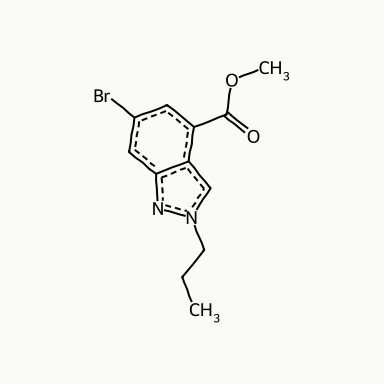 CCCn1cc2c(C(=O)OC)cc(Br)cc2n1